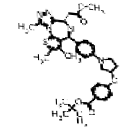 COC(=O)C[C@@H]1N=C(c2ccc(N3CCC(Oc4ccc(C(=O)OC(C)(C)C)cc4)C3)cc2)c2c(sc(C)c2C)-n2c(C)nnc21